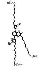 CCCCCCCCCCCCCCCCCCCCc1cc(-c2ccc(-c3cc(CCCCCCCCCCCCCCCCCCCC)c(Br)s3)c3nc(CCCCCCCCCCCCCCCCCCCC)c(C)nc23)sc1Br